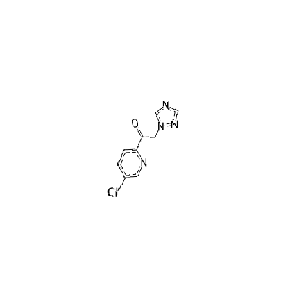 O=C(Cn1cncn1)c1ccc(Cl)cn1